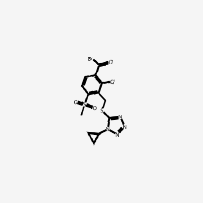 CS(=O)(=O)c1ccc(C(=O)Br)c(Cl)c1CSc1nnnn1C1CC1